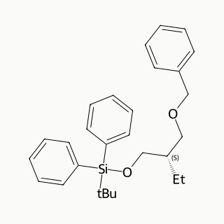 CC[C@@H](COCc1ccccc1)CO[Si](c1ccccc1)(c1ccccc1)C(C)(C)C